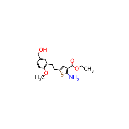 CCOC(=O)c1cc(CCc2cc(CO)ccc2OC)sc1N